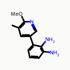 COc1ncc(-c2cccc(N)c2N)cc1C